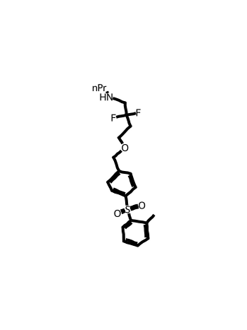 CCCNCC(F)(F)CCOCc1ccc(S(=O)(=O)c2ccccc2C)cc1